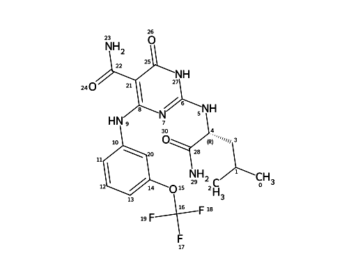 CC(C)C[C@@H](Nc1nc(Nc2cccc(OC(F)(F)F)c2)c(C(N)=O)c(=O)[nH]1)C(N)=O